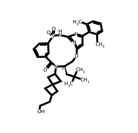 Cc1cccc(C)c1-c1cc2nc(n1)NS(=O)(=O)c1cccc(c1)C(=O)N(C1CC3(CC(CCO)C3)C1)[C@H](CC(C)(C)C)CO2